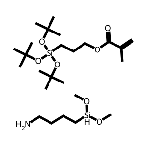 C=C(C)C(=O)OCCC[Si](OC(C)(C)C)(OC(C)(C)C)OC(C)(C)C.CO[SiH](CCCCN)OC